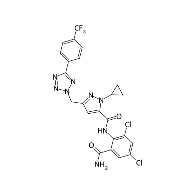 NC(=O)c1cc(Cl)cc(Cl)c1NC(=O)c1cc(Cn2nnc(-c3ccc(C(F)(F)F)cc3)n2)nn1C1CC1